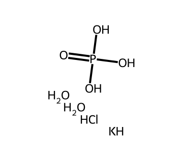 Cl.O.O.O=P(O)(O)O.[KH]